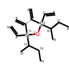 C=C[Si](C=C)(O[Si](C=C)(C=C)C(C)CC)C(C)CC